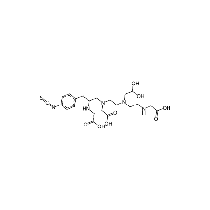 O=C(O)CNCCN(CCN(CC(=O)O)CC(Cc1ccc(N=C=S)cc1)NCC(=O)O)CC(O)O